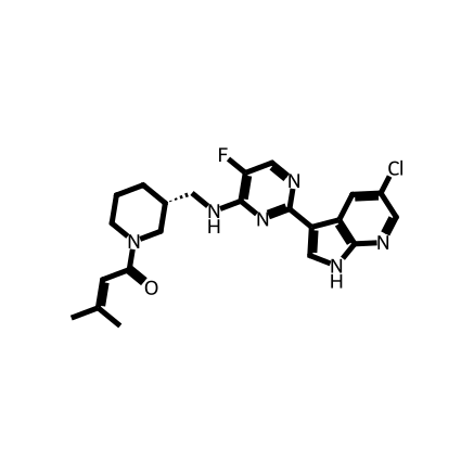 CC(C)=CC(=O)N1CCC[C@H](CNc2nc(-c3c[nH]c4ncc(Cl)cc34)ncc2F)C1